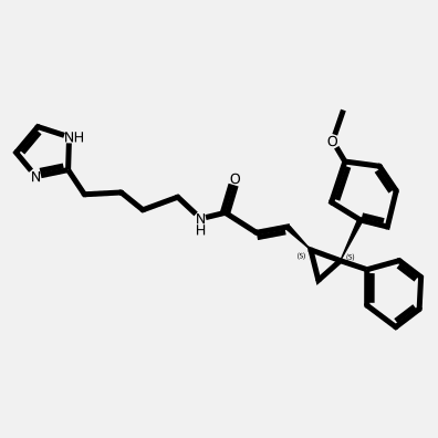 COc1cccc([C@@]2(c3ccccc3)C[C@H]2C=CC(=O)NCCCCc2ncc[nH]2)c1